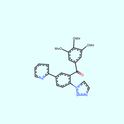 COc1cc(C(=O)c2cc(-c3ccccn3)ccc2-n2ccnn2)cc(OC)c1OC